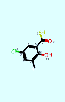 Cc1cc(Cl)cc(C(=O)S)c1O